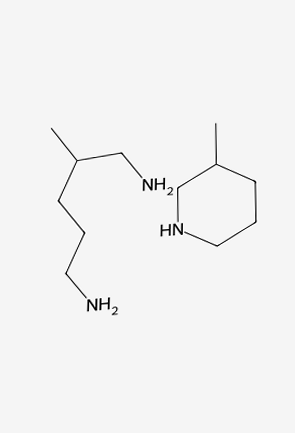 CC(CN)CCCN.CC1CCCNC1